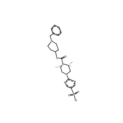 CCS(=O)(=O)c1cnc(N2C[C@@H](C)N(C(=O)OC3CCN(Cc4ccccc4)CC3)[C@@H](C)C2)nc1